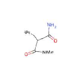 CNC(=O)C([C](C)C)C(N)=O